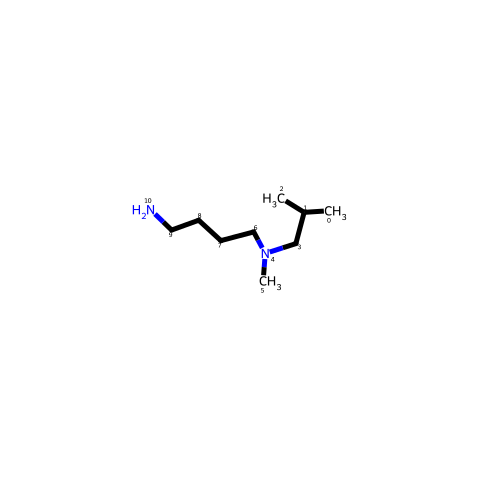 CC(C)CN(C)CCCCN